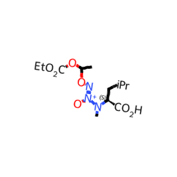 CCOC(=O)OC(C)ON=[N+]([O-])N(C)[C@@H](CC(C)C)C(=O)O